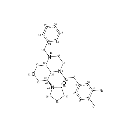 Cc1ccc(CC(=O)N2CCN(Cc3ccccc3)C3COC[C@H](N4CCCC4)C32)cc1C